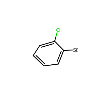 [Si]c1ccccc1Cl